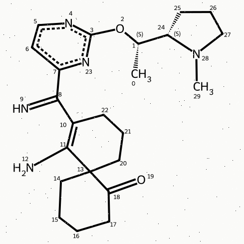 C[C@H](Oc1nccc(C(=N)C2=C(N)C3(CCCCC3=O)CCC2)n1)[C@@H]1CCCN1C